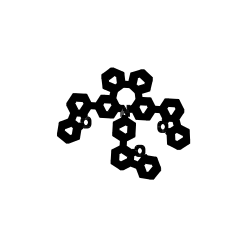 c1ccc2c(c1)oc1c(-c3ccc(-n4c5ccc(-c6cccc7c6oc6ccccc67)cc5c5ccccc5c5ccccc5c5cc(-c6cccc7c6oc6ccccc67)ccc54)cc3)cccc12